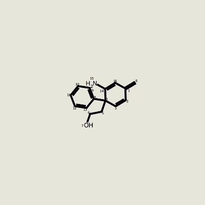 C=C1C=CC(CCO)(c2ccccc2)C(N)=C1